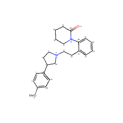 COc1ccc(C2CCN(CCc3ccccc3N3CCCCC3=O)C2)cc1